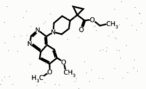 CCOC(=O)C1(C2CCN(c3ncnc4cc(OC)c(OC)cc34)CC2)CC1